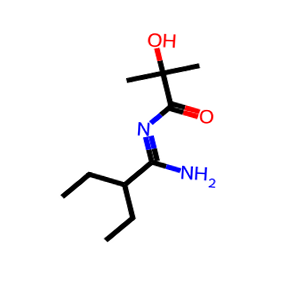 CCC(CC)/C(N)=N/C(=O)C(C)(C)O